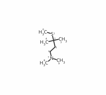 CSC(C)(C)CCN(C)C